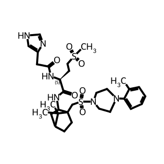 Cc1ccccc1N1CCN(S(=O)(=O)CC23CCC(CC2NC(=O)[C@H](CCS(C)(=O)=O)NC(=O)Cc2c[nH]cn2)C3(C)C)CC1